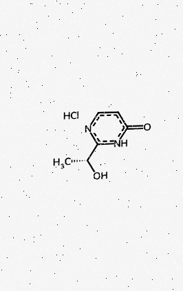 C[C@@H](O)c1nccc(=O)[nH]1.Cl